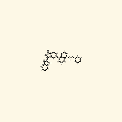 c1ccc(CNc2cccc3c(-c4ccc5[nH]nc(-c6nc7ccccc7[nH]6)c5c4)cncc23)cc1